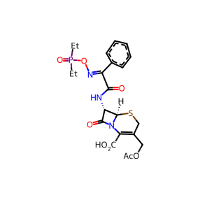 CCP(=O)(CC)ON=C(C(=O)N[C@H]1C(=O)N2C(C(=O)O)=C(COC(C)=O)CS[C@H]12)c1ccccc1